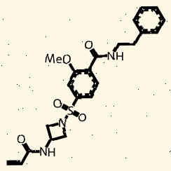 C=CC(=O)NC1CN(S(=O)(=O)c2ccc(C(=O)NCCc3ccccc3)c(OC)c2)C1